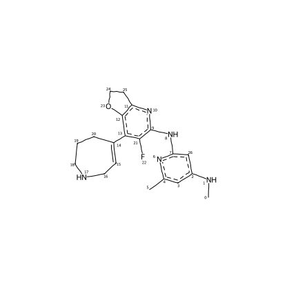 CNc1cc(C)nc(Nc2nc3c(c(C4=CCNCCC4)c2F)OCC3)c1